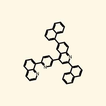 c1ccc2c(-c3ccc4nc(-c5cccc6ccccc56)cc(-c5ccc(-c6cccc7cccnc67)nc5)c4c3)cccc2c1